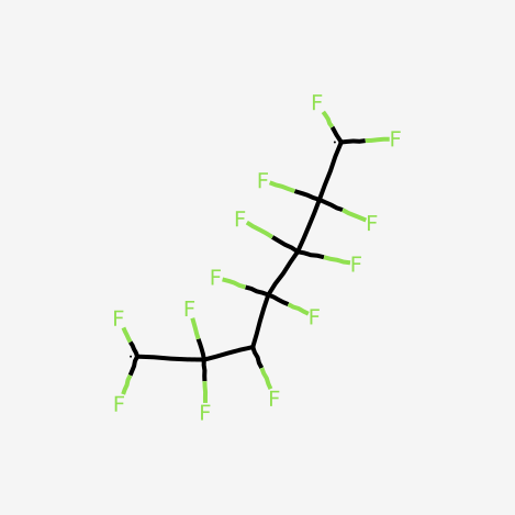 F[C](F)C(F)(F)C(F)C(F)(F)C(F)(F)C(F)(F)[C](F)F